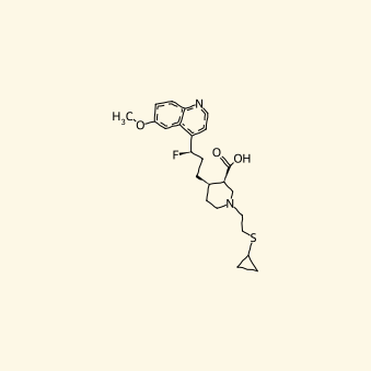 COc1ccc2nccc([C@H](F)CC[C@@H]3CCN(CCSC4CC4)C[C@@H]3C(=O)O)c2c1